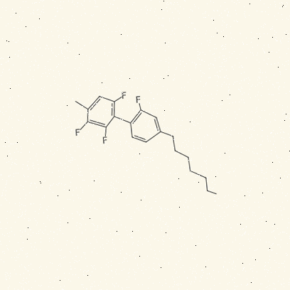 CCCCCCCc1ccc(-c2c(F)cc(C)c(F)c2F)c(F)c1